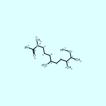 CCCOC(C)C(C)CCC(C)CCCN(C)C(=O)C(C)C